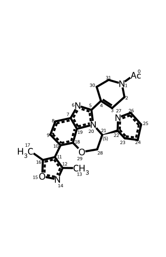 CC(=O)N1CC=C(c2nc3ccc(-c4c(C)noc4C)c4c3n2[C@@H](c2ccccn2)CO4)CC1